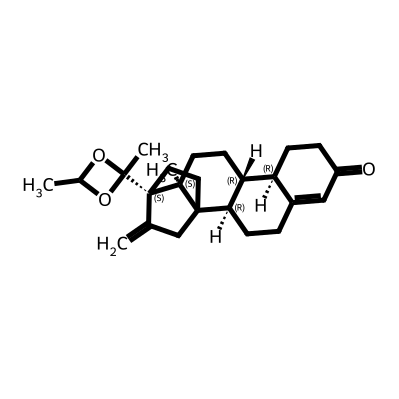 C=C1CC23CC[C@@]1(C1(C)OC(C)O1)[C@@]2(C)CC[C@H]1[C@H]3CCC2=CC(=O)CC[C@@H]21